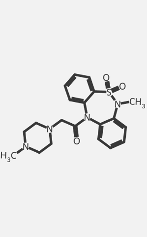 CN1CCN(CC(=O)N2c3ccccc3N(C)S(=O)(=O)c3ccccc32)CC1